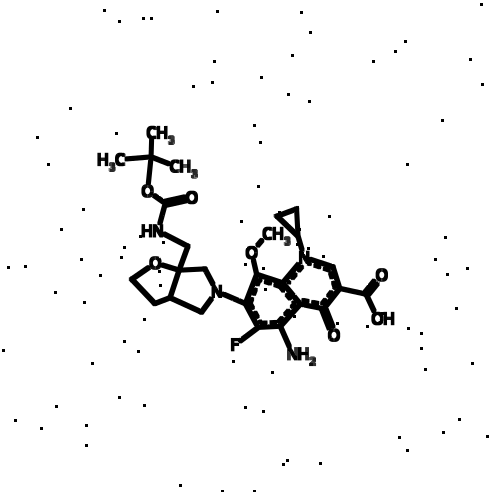 COc1c(N2CC3CCOC3(CNC(=O)OC(C)(C)C)C2)c(F)c(N)c2c(=O)c(C(=O)O)cn(C3CC3)c12